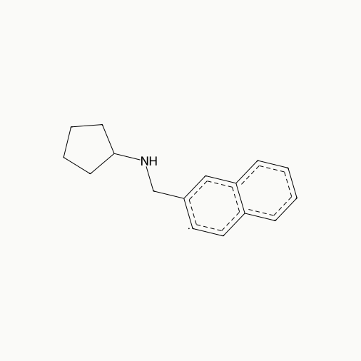 [c]1cc2ccccc2cc1CNC1CCCC1